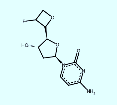 Nc1ccn([C@H]2C[C@H](O)[C@@H](C3OCC3F)O2)c(=O)n1